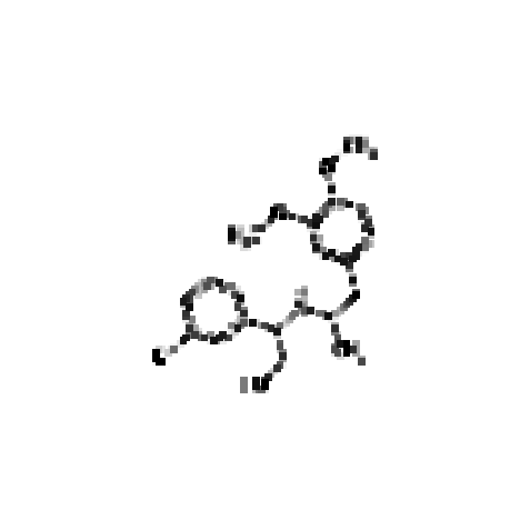 COc1ccc(CC(C)NC(CO)c2cccc(Cl)c2)cc1OC